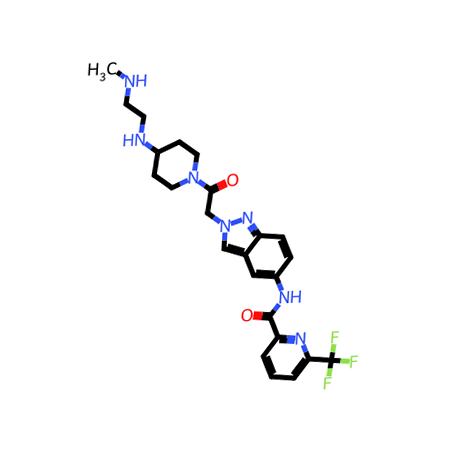 CNCCNC1CCN(C(=O)Cn2cc3cc(NC(=O)c4cccc(C(F)(F)F)n4)ccc3n2)CC1